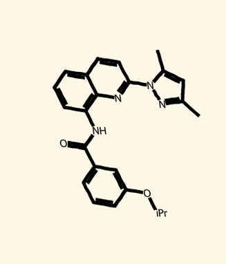 Cc1cc(C)n(-c2ccc3cccc(NC(=O)c4cccc(OC(C)C)c4)c3n2)n1